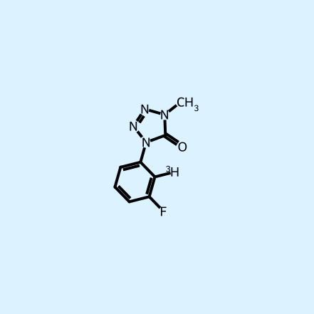 [3H]c1c(F)cccc1-n1nnn(C)c1=O